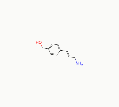 NCC=Cc1ccc(CO)cc1